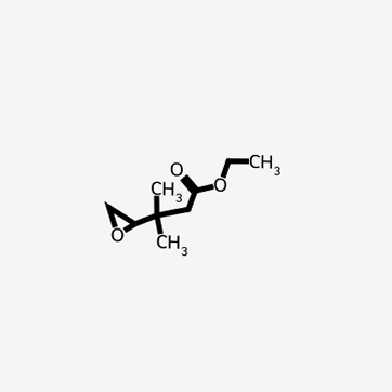 CCOC(=O)CC(C)(C)C1CO1